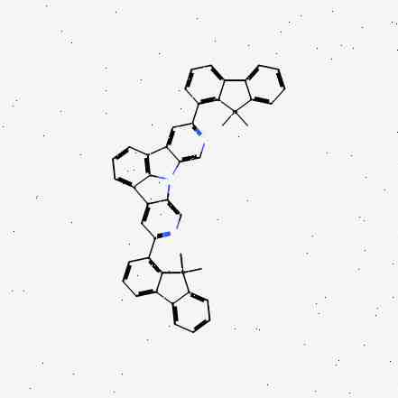 CC1(C)c2ccccc2-c2cccc(-c3cc4c5cccc6c7cc(-c8cccc9c8C(C)(C)c8ccccc8-9)ncc7n(c4cn3)c56)c21